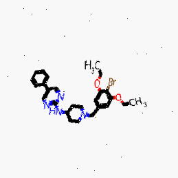 CCOc1cc(CN2CCC(Nc3ncc(-c4ccccc4)cn3)CC2)cc(OCC)c1Br